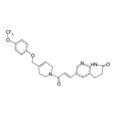 O=C1CCc2cc(/C=C/C(=O)N3CC=C(COc4ccc(OC(F)(F)F)cc4)CC3)cnc2N1